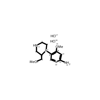 COCC1CNCCN1c1cnc(N)cc1OC.Cl.Cl